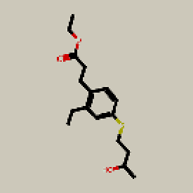 CCOC(=O)CCc1ccc(SCCC(C)O)cc1CC